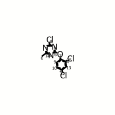 Cc1nc(Cl)nc(Oc2ccc(Cl)cc2Cl)n1